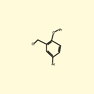 CCCOc1ccc(C(C)=O)cc1CCl